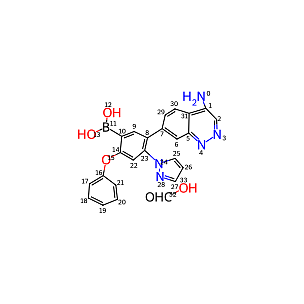 Nc1cnnc2cc(-c3cc(B(O)O)c(Oc4ccccc4)cc3-n3cccn3)ccc12.O=CO